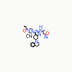 C=CC(=O)N1CCN(c2nc(NC(C)CC(=O)N(C)C)nc3c2CCC(N2CCCc4ccccc42)C3)C[C@@H]1CC#N